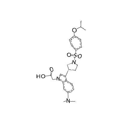 CC(C)Oc1ccc(S(=O)(=O)N2CCC(c3cn(CC(=O)O)c4cc(N(C)C)ccc34)C2)cc1